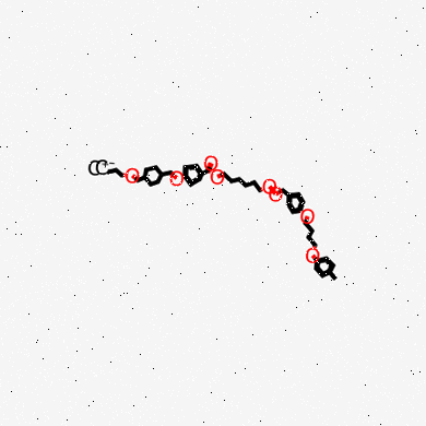 [CH2+][CH-]CCCOCC1CCC(COc2ccc(C(=O)OCCCCCCOOCc3ccc(OCCCCOc4ccc(C)cc4)cc3)cc2)CC1